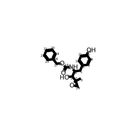 CC1(C(O)C(Cc2ccc(O)cc2)NC(=O)OCc2ccccc2)CO1